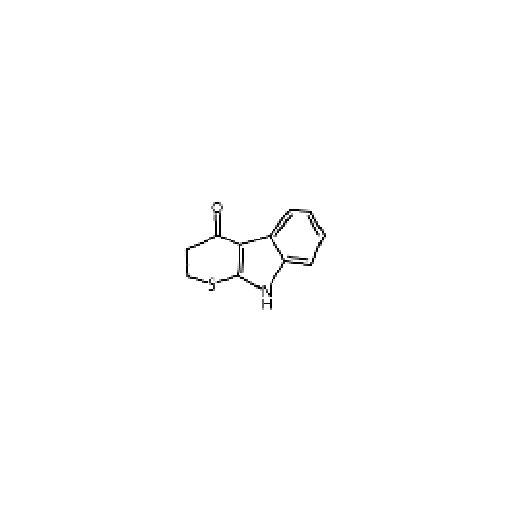 O=C1CCSc2[nH]c3ccccc3c21